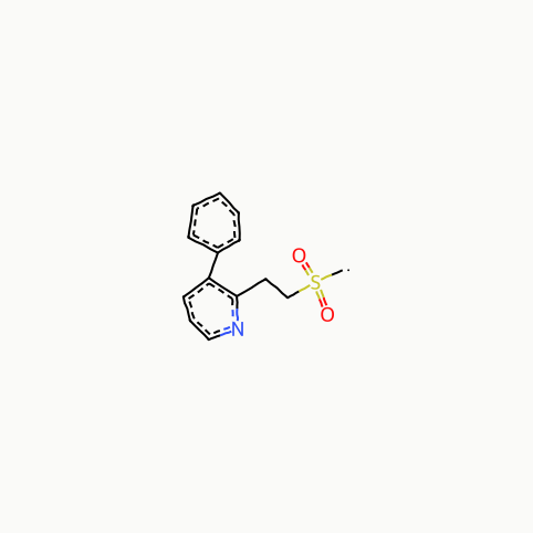 [CH2]S(=O)(=O)CCc1ncccc1-c1ccccc1